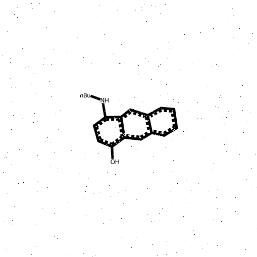 CCCCNc1ccc(O)c2cc3ccccc3cc12